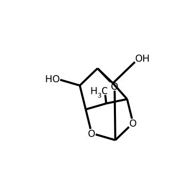 CC1C2OC3OC1C(O)C(O3)C2O